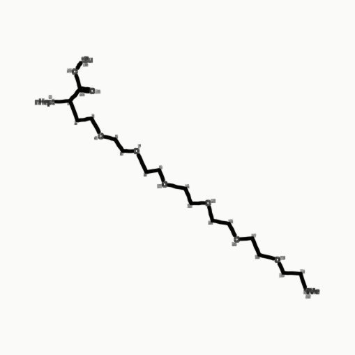 CCCCCCCC(CCOCCOCCOCCOCCOCCOCCNC)C(=O)OC(C)(C)C